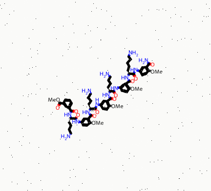 COC(=O)c1cccc(C(=O)N[C@@H](CCCCN)C(=O)Nc2ccc(OC)c(C(=O)N[C@@H](CCCCN)C(=O)Nc3ccc(OC)c(C(=O)N[C@@H](CCCCN)C(=O)Nc4ccc(OC)c(C(=O)N[C@@H](CCCCCN)C(=O)Nc5ccc(OC)c(C(N)=O)c5)c4)c3)c2)c1